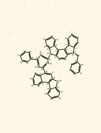 c1ccc(C[C@@H]2c3ccccc3-c3c2ccc2c3c3ccccc3n2-c2nc(-c3ccccc3)nc(-c3cc4oc5ccccc5c4c4ccccc34)n2)cc1